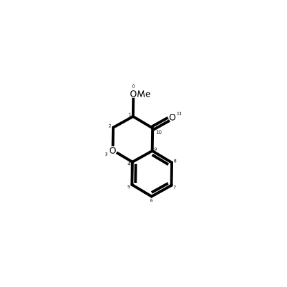 COC1COc2ccccc2C1=O